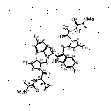 CCC(NC(=O)C(C)NC)C(=O)N1CC(F)CC1Cc1c(-c2nc3cc(F)ccc3n2CC2CC(F)CN2C(=O)C(NC(=O)C(C)NC)C2CC2)[nH]c2cc(F)ccc12